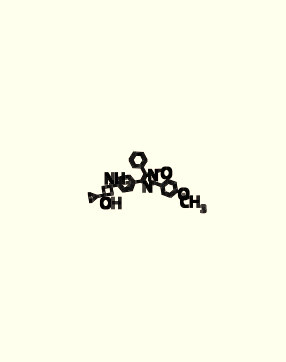 COc1ccc2c(c1)OCn1c-2nc(-c2ccc([C@]3(N)C[C@@](O)(C4CC4)C3)cc2)c1-c1ccccc1